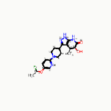 C[C@H](F)Oc1ccc(N2CCC(c3n[nH]c4c3[C@H](C(F)(F)F)[C@H](O)C(=O)N4)CC2)nc1